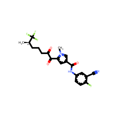 C[C@H](CCCC(=O)C(=O)c1cc(C(=O)Nc2ccc(F)c(C#N)c2)cn1C)C(F)(F)F